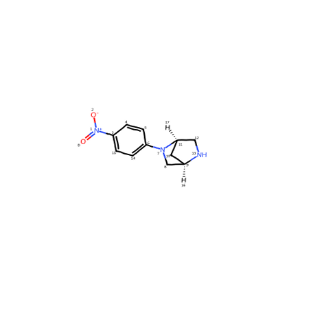 O=[N+]([O-])c1ccc(N2C[C@H]3C[C@@H]2CN3)cc1